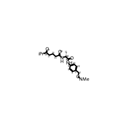 CNOCc1ccc(NC(=O)[C@@H](C)NC(=O)CCCC(=O)C(C)C)cc1